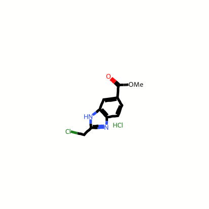 COC(=O)c1ccc2nc(CCl)[nH]c2c1.Cl